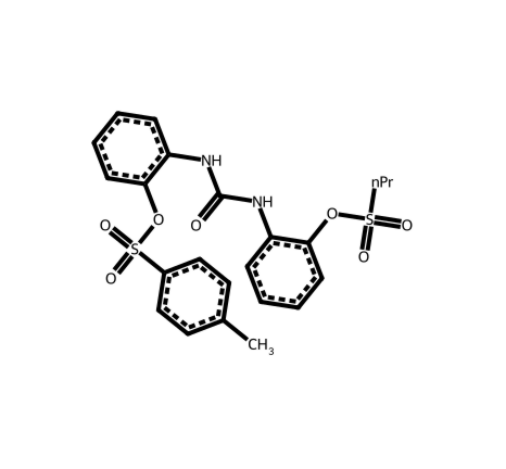 CCCS(=O)(=O)Oc1ccccc1NC(=O)Nc1ccccc1OS(=O)(=O)c1ccc(C)cc1